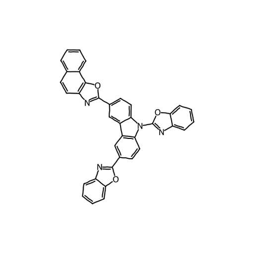 c1ccc2c(c1)ccc1nc(-c3ccc4c(c3)c3cc(-c5nc6ccccc6o5)ccc3n4-c3nc4ccccc4o3)oc12